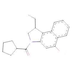 O=C(C1CCCC1)N1CC(CCl)c2c1cc(O)c1ccccc21